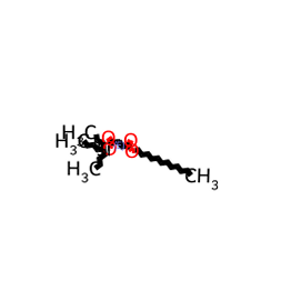 CCCCCCCCCCCCOC(=O)/C=C/C(=O)O[Si](CCCC)(CCCC)CCCC